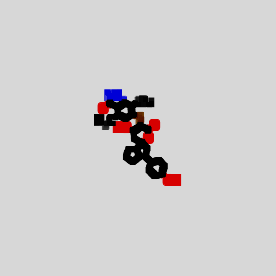 Cc1cc(SC2=C(O)CC(CCc3ccc(O)cc3)(C3CCCC3)OC2=O)c(C(C)(C)C)cc1C(N)=O